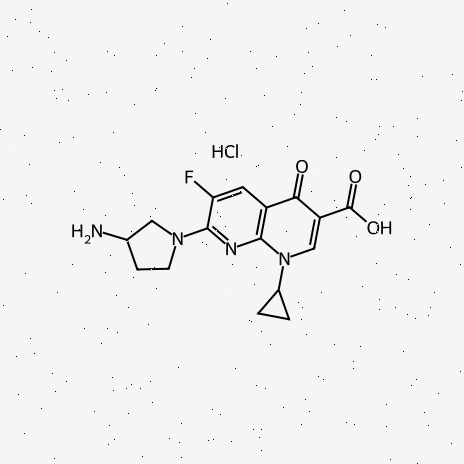 Cl.NC1CCN(c2nc3c(cc2F)c(=O)c(C(=O)O)cn3C2CC2)C1